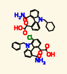 NC(=O)c1cccc2c1c1c(C(=O)C(=O)O)ccc(Cl)c1n2Cc1ccccc1.NC(=O)c1cccc2c1c1c(C(=O)C(=O)O)cccc1n2CC1CCCCC1